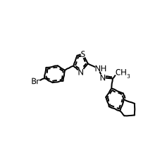 CC(=NNc1nc(-c2ccc(Br)cc2)cs1)c1ccc2c(c1)CCC2